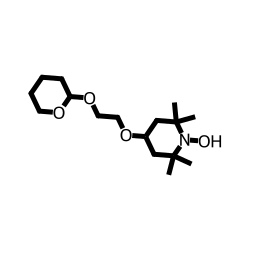 CC1(C)CC(OCCOC2CCCCO2)CC(C)(C)N1O